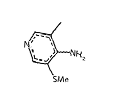 CSc1cncc(C)c1N